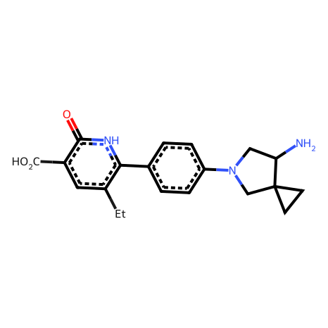 CCc1cc(C(=O)O)c(=O)[nH]c1-c1ccc(N2CC(N)C3(CC3)C2)cc1